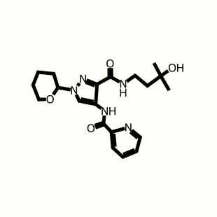 CC(C)(O)CCNC(=O)c1nn(C2CCCCO2)cc1NC(=O)c1ccccn1